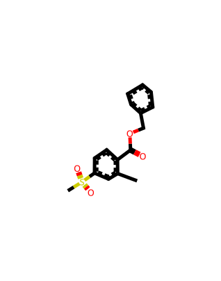 Cc1cc(S(C)(=O)=O)ccc1C(=O)OCc1ccccc1